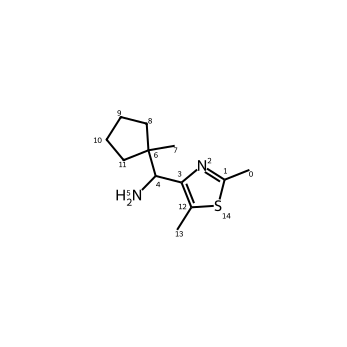 Cc1nc(C(N)C2(C)CCCC2)c(C)s1